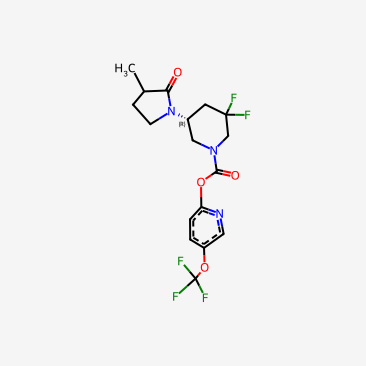 CC1CCN([C@H]2CN(C(=O)Oc3ccc(OC(F)(F)F)cn3)CC(F)(F)C2)C1=O